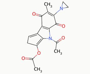 CC(=O)OC1=c2c(c3c(n2C(C)=O)C(=O)C(N2CC2)=C(C)C3=O)=CC1